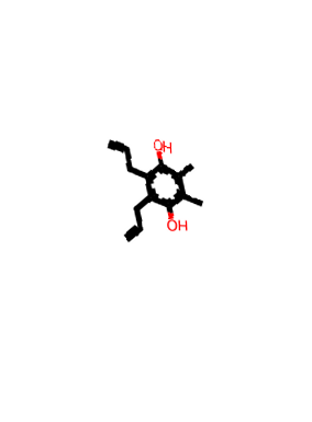 C=CCc1c(O)c(C)c(C)c(O)c1CC=C